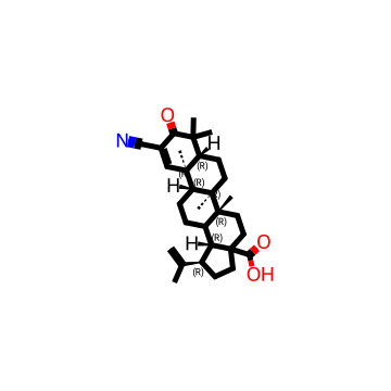 C=C(C)[C@@H]1CCC2(C(=O)O)CC[C@]3(C)C(CC[C@@H]4[C@@]5(C)C=C(C#N)C(=O)C(C)(C)[C@@H]5CC[C@]43C)[C@@H]12